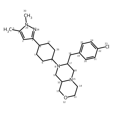 Cc1cc(C2CCC(N3CC4COCCN4CC3Cc3ccc(Cl)cc3)CC2)nn1C